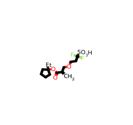 C=C(COCCC(F)(F)S(=O)(=O)O)C(=O)OC1(CC)CCCC1